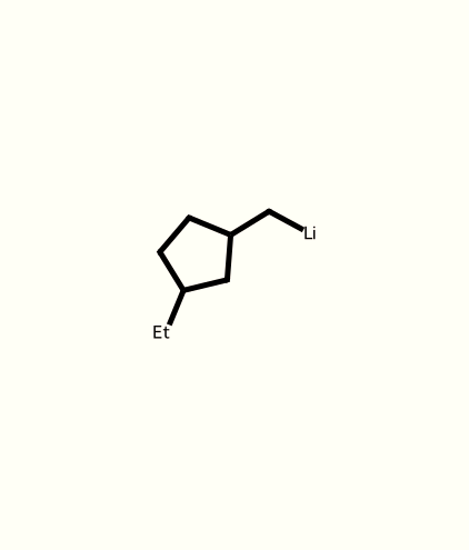 [Li][CH2]C1CCC(CC)C1